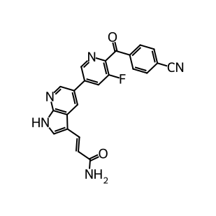 N#Cc1ccc(C(=O)c2ncc(-c3cnc4[nH]cc(C=CC(N)=O)c4c3)cc2F)cc1